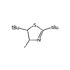 CC1N=C(C(C)(C)C)SC1C(C)(C)C